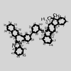 CC1(C)c2ccccc2-c2cc3c4ccccc4n(-c4cccc(-c5ccc6c(c5)c5cc7ccccc7cc5c5nc7ccccc7n65)c4)c3cc21